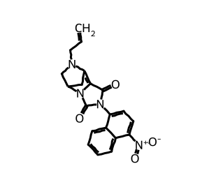 C=CCN1CC2CC1=C1C(=O)N(c3ccc([N+](=O)[O-])c4ccccc34)C(=O)N12